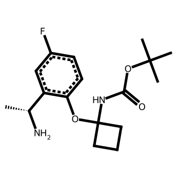 C[C@@H](N)c1cc(F)ccc1OC1(NC(=O)OC(C)(C)C)CCC1